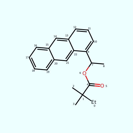 CCC(C)(C)C(=O)OC(C)c1cccc2cc3ccccc3cc12